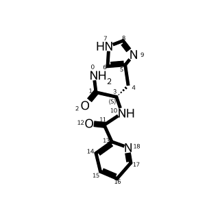 NC(=O)[C@H](Cc1c[nH]cn1)NC(=O)c1ccccn1